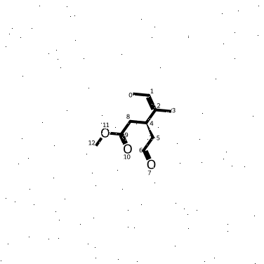 C/C=C(/C)[C@@H](CC=O)CC(=O)OC